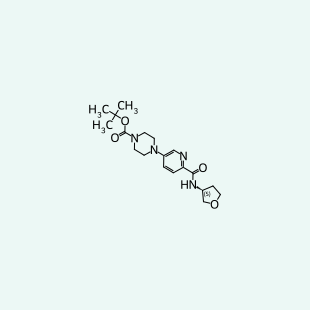 CC(C)(C)OC(=O)N1CCN(c2ccc(C(=O)N[C@H]3CCOC3)nc2)CC1